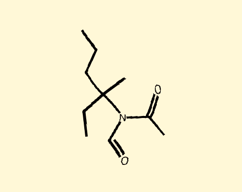 CCCC(C)(CC)N(C=O)C(C)=O